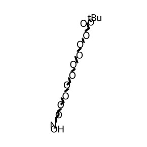 CC(C)(C)OC(=O)CCOCCOCCOCCOCCOCCOCCOCCOCCOC/C=N/O